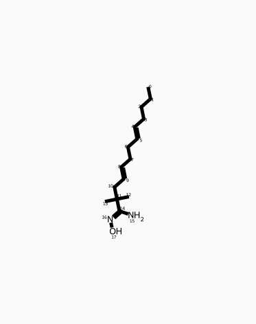 CCCCC=CCCC=CCC(C)(C)C(N)=NO